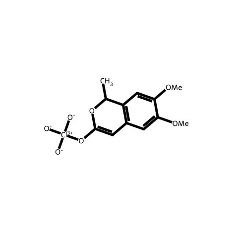 COc1cc2c(cc1OC)C(C)OC(O[Cl+3]([O-])([O-])[O-])=C2